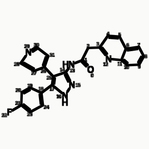 O=C(Cc1ccc2ccccc2n1)Nc1n[nH]c(-c2ccc(F)cc2)c1-c1ccncc1